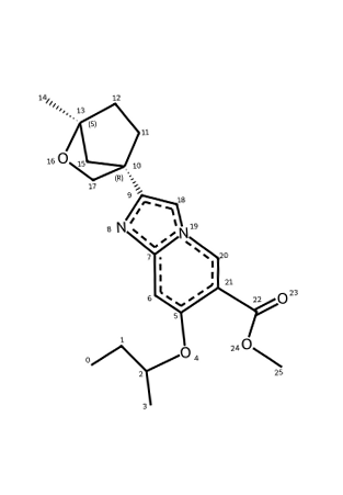 CCC(C)Oc1cc2nc([C@@]34CC[C@@](C)(C3)OC4)cn2cc1C(=O)OC